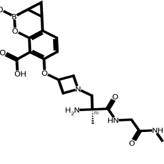 CNC(=O)CNC(=O)[C@@](C)(N)CN1CC(Oc2ccc3c(c2C(=O)O)OB(O)C2CC32)C1